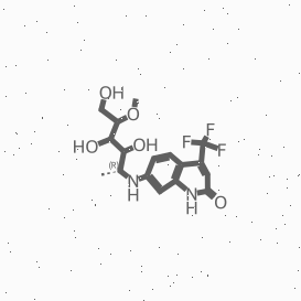 COC(CO)C(O)C(O)[C@@H](C)Nc1ccc2c(C(F)(F)F)cc(=O)[nH]c2c1